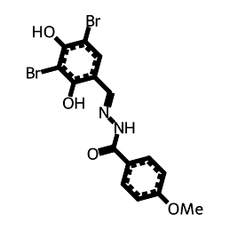 COc1ccc(C(=O)NN=Cc2cc(Br)c(O)c(Br)c2O)cc1